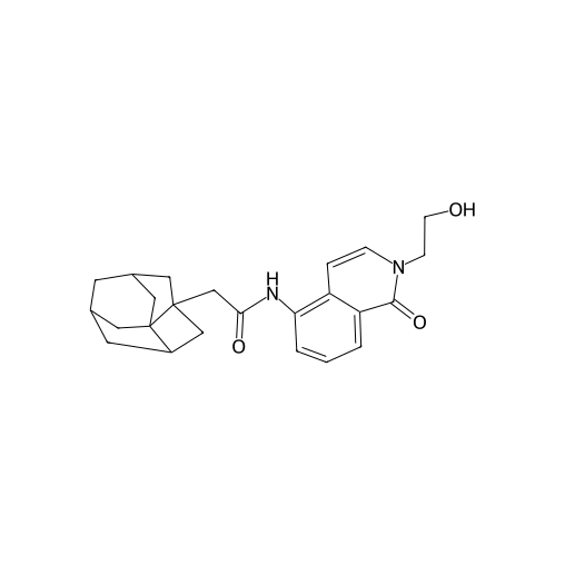 O=C(CC12CC3CC4CC(C1)C2(C4)C3)Nc1cccc2c(=O)n(CCO)ccc12